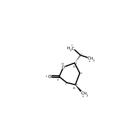 CC(C)[C@@H]1C[C@@H](C)CC(=O)O1